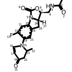 CC(=O)NC[C@@H]1OC(=O)N2c3cc(F)c(N4C=CC(=O)CC4C)cc3C[C@@H]12